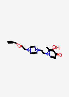 C#CCOCCN1CCN(CCn2ccc(=O)c(O)c2C)CC1